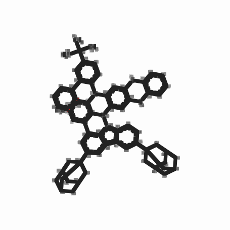 Cc1cc2c3c(c1)N(c1ccc(C(C)(C)C)cc1-c1ccccc1)c1cc4c(cc1B3n1c3ccc(C56CC7CC(CC(C7)C5)C6)cc3c3cc(C56CC7CC(CC(C7)C5)C6)cc-2c31)Sc1ccccc1S4